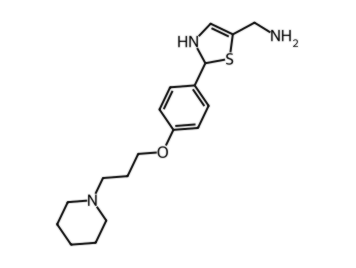 NCC1=CNC(c2ccc(OCCCN3CCCCC3)cc2)S1